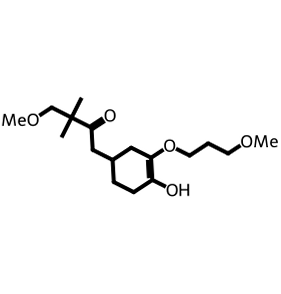 COCCCOC1=C(O)CCC(CC(=O)C(C)(C)COC)C1